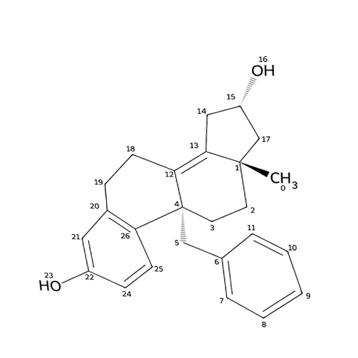 C[C@@]12CC[C@]3(Cc4ccccc4)C(=C1C[C@H](O)C2)CCc1cc(O)ccc13